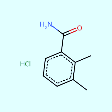 Cc1cccc(C(N)=O)c1C.Cl